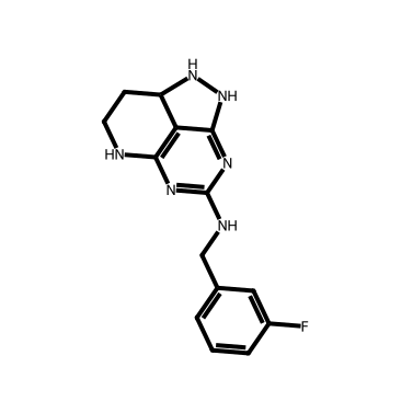 Fc1cccc(CNc2nc3c4c(n2)NNC4CCN3)c1